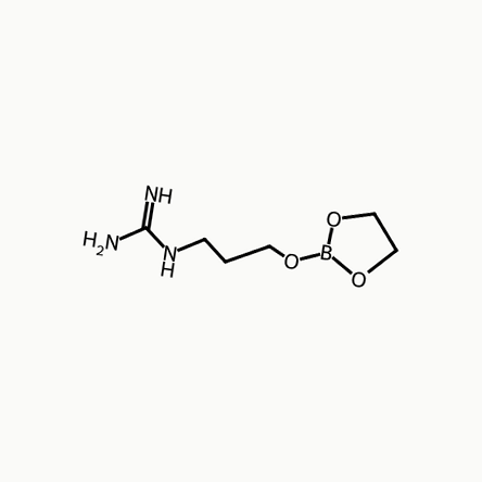 N=C(N)NCCCOB1OCCO1